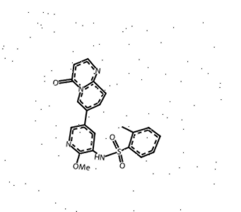 COc1ncc(-c2ccc3nccc(=O)n3c2)cc1NS(=O)(=O)c1ccccc1C